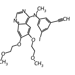 C#Cc1cc(I)cc(N(C)c2ncnc3cc(OCCOC)c(OCCOC)cc23)c1